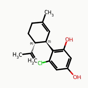 C=C(C)[C@@H]1CCC(C)=C[C@H]1c1c(O)cc(O)cc1Cl